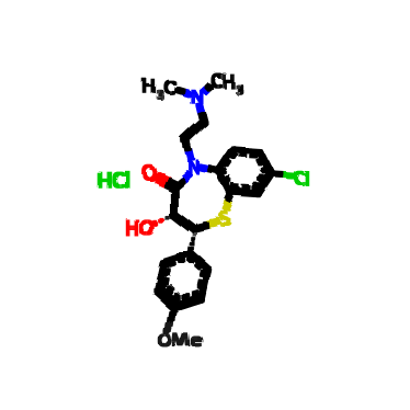 COc1ccc([C@H]2Sc3cc(Cl)ccc3N(CCN(C)C)C(=O)[C@H]2O)cc1.Cl